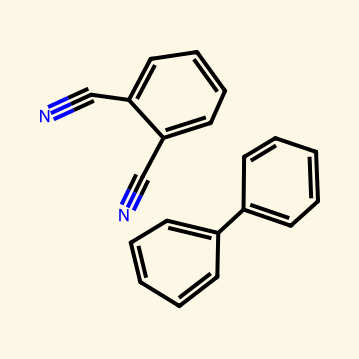 N#Cc1ccccc1C#N.c1ccc(-c2ccccc2)cc1